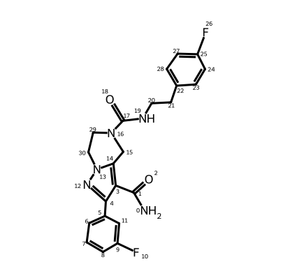 NC(=O)c1c(-c2cccc(F)c2)nn2c1CN(C(=O)NCCc1ccc(F)cc1)CC2